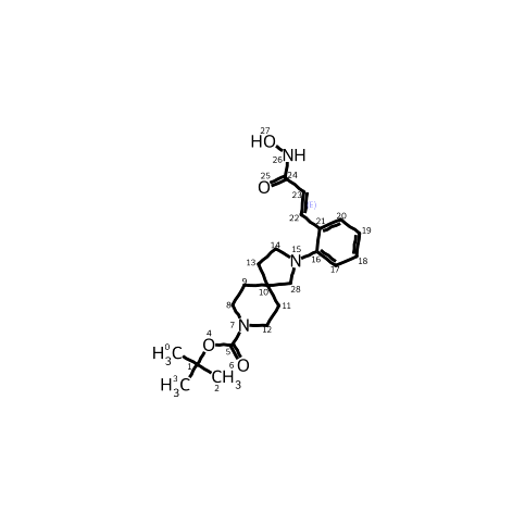 CC(C)(C)OC(=O)N1CCC2(CC1)CCN(c1ccccc1/C=C/C(=O)NO)C2